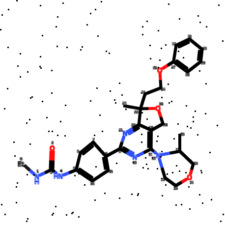 CCNC(=O)Nc1ccc(-c2nc(N3CCOCC3C)c3c(n2)C(C)(CCOc2ccccc2)OC3)cc1